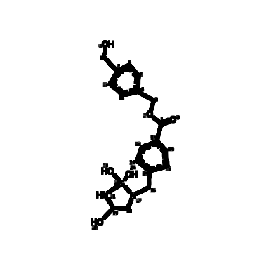 O=C(OCc1ccc(CO)cc1)c1ccc(CN2CC(O)NS2(O)O)cc1